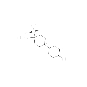 CCCCCC1(S(C)(=O)=O)CCC(C2CCC(CCC)CC2)CC1